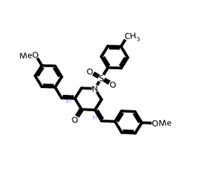 COc1ccc(/C=C2\CN(S(=O)(=O)c3ccc(C)cc3)C/C(=C\c3ccc(OC)cc3)C2=O)cc1